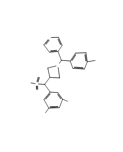 CS(=O)(=O)C(c1cc(F)cc(F)c1)C1CN(C(c2ccncc2)c2ccc(Cl)cc2)C1